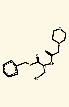 O=C(CN1CCOCC1)N[C@@H](CO)C(=O)OCc1ccccc1